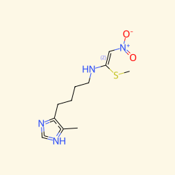 CS/C(=C\[N+](=O)[O-])NCCCCc1nc[nH]c1C